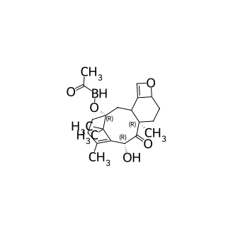 CC(=O)BO[C@]12CCC(C)=C([C@@H](O)C(=O)[C@]3(C)CCC4OC=C4C3C1)C2(C)C